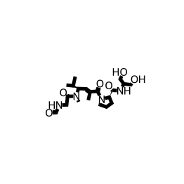 C/C(=C\[C@H](C(C)C)N(C)C(=O)CNC=O)C(=O)N1CCC[C@H]1C(=O)NC(CO)CO